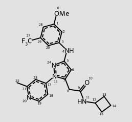 COc1cc(Nc2cc(CC(=O)NC3CCC3)n(-c3ccnc(C)c3)n2)cc(C(F)(F)F)c1